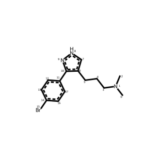 CN(C)CCCc1c[nH]nc1-c1ccc(Br)cc1